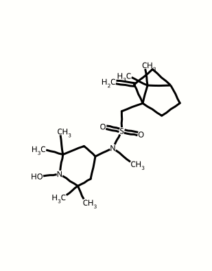 C=C1CC2CCC1(CS(=O)(=O)N(C)C1CC(C)(C)N(O)C(C)(C)C1)C2(C)C